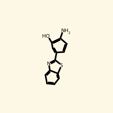 Nc1ccc(-c2nc3ccccc3s2)cc1O